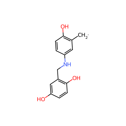 [CH2]c1cc(NCc2cc(O)ccc2O)ccc1O